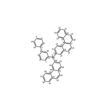 c1ccc(-c2cccc(N(c3ccc4c(ccc5ccc6ccccc6c54)c3)c3ccc4ccc5ccccc5c4c3)c2)cc1